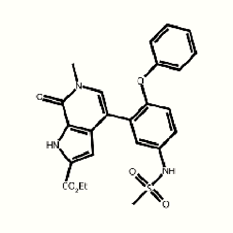 CCOC(=O)c1cc2c(-c3cc(NS(C)(=O)=O)ccc3Oc3ccccc3)cn(C)c(=O)c2[nH]1